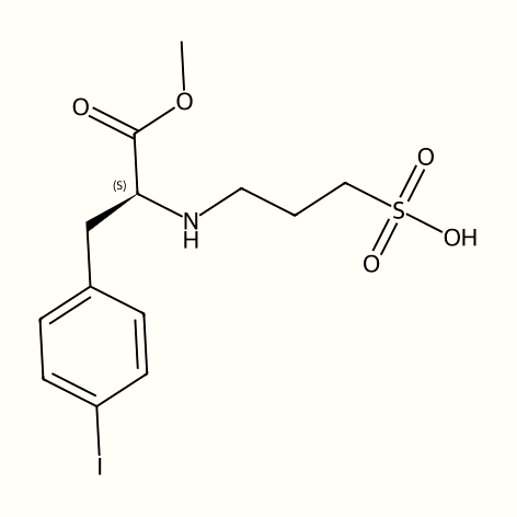 COC(=O)[C@H](Cc1ccc(I)cc1)NCCCS(=O)(=O)O